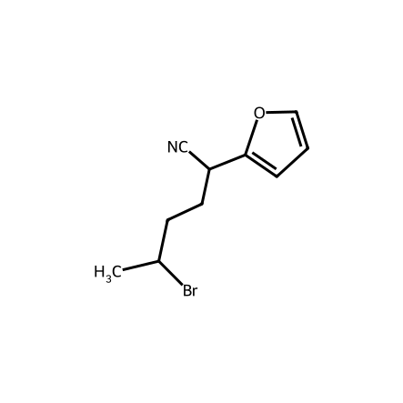 CC(Br)CCC(C#N)c1ccco1